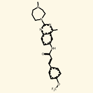 Cc1nc(N2CCCN(C)CC2)nc2ccc(NC(=O)C=Cc3ccc(OC(F)(F)F)cc3)cc12